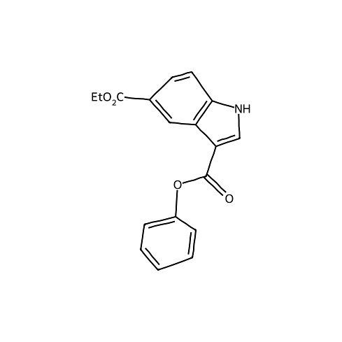 CCOC(=O)c1ccc2[nH]cc(C(=O)Oc3ccccc3)c2c1